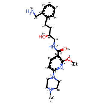 CCOc1nc(N2CCN(C(C)=O)CC2)ccc1C(=O)NCC(O)CCc1ccccc1CN